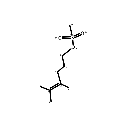 CC(C)=C(C)CCCOS(C)(=O)=O